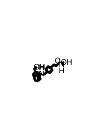 O=C(/C=C/c1ccc(CNC23CC4CC(CC(CO)(C4)C2)C3)cc1)NO